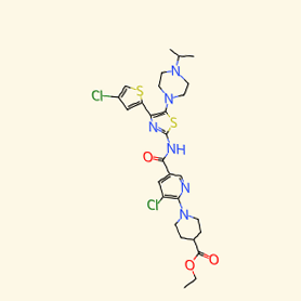 CCOC(=O)C1CCN(c2ncc(C(=O)Nc3nc(-c4cc(Cl)cs4)c(N4CCN(C(C)C)CC4)s3)cc2Cl)CC1